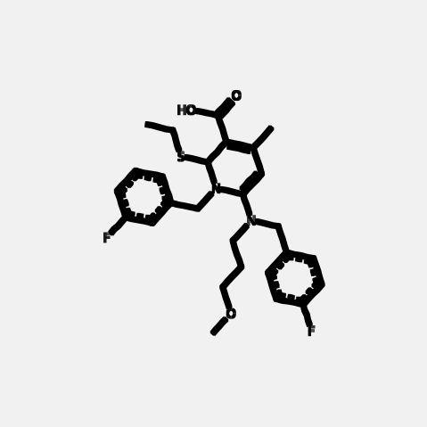 CCSC1C(C(=O)O)=C(C)C=C(N(CCCOC)Cc2ccc(F)cc2)N1Cc1cccc(F)c1